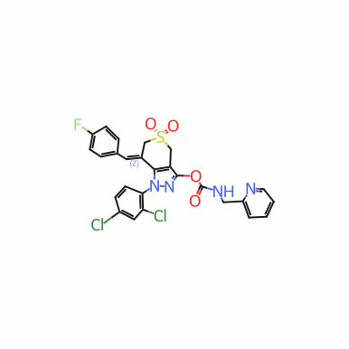 O=C(NCc1ccccn1)Oc1nn(-c2ccc(Cl)cc2Cl)c2c1CS(=O)(=O)C/C2=C\c1ccc(F)cc1